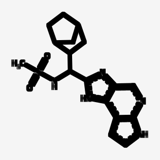 CS(=O)(=O)NC(c1nc2cnc3[nH]ccc3c2[nH]1)C1CC2CCC1C2